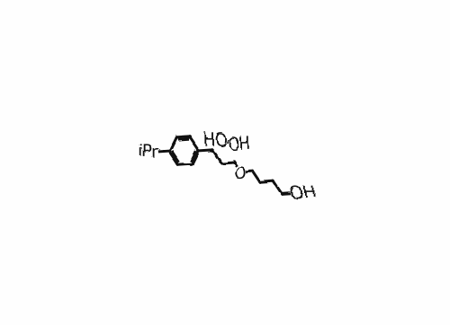 CC(C)c1ccc(CCCOCCCCO)cc1.OO